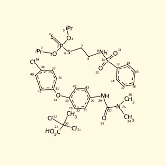 CC(C)OP(=S)(OC(C)C)SCCNS(=O)(=O)c1ccccc1.CC(Cl)(Cl)C(=O)O.CN(C)C(=O)Nc1ccc(Oc2ccc(Cl)cc2)cc1